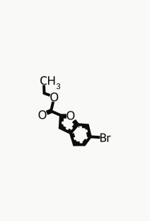 CCOC(=O)c1cc2ccc(Br)cc2o1